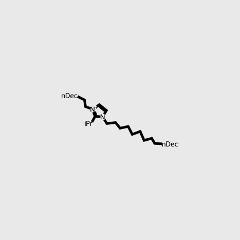 CCCCCCCCCCCCCCCCCCCn1cc[n+](CCCCCCCCCCCC)c1C(C)C